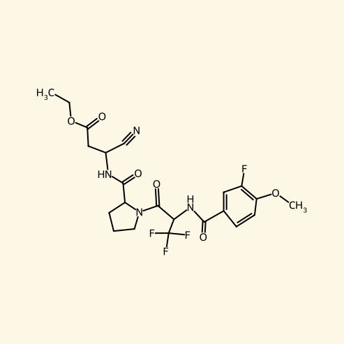 CCOC(=O)CC(C#N)NC(=O)C1CCCN1C(=O)C(NC(=O)c1ccc(OC)c(F)c1)C(F)(F)F